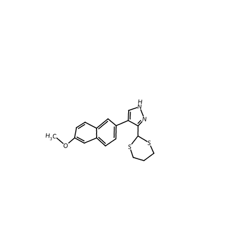 COc1ccc2cc(-c3c[nH]nc3C3SCCCS3)ccc2c1